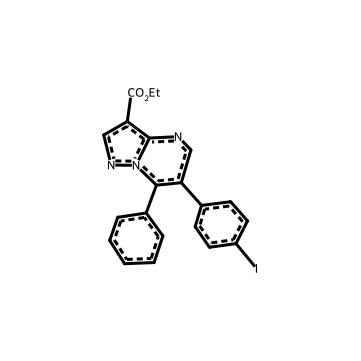 CCOC(=O)c1cnn2c(-c3ccccc3)c(-c3ccc(I)cc3)cnc12